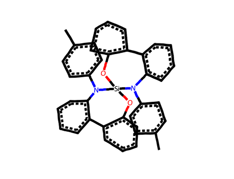 Cc1ccc(N2c3ccccc3-c3ccccc3O[Si]23Oc2ccccc2-c2ccccc2N3c2ccc(C)cc2)cc1